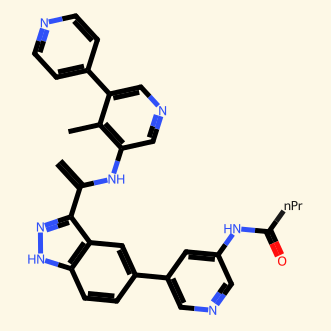 C=C(Nc1cncc(-c2ccncc2)c1C)c1n[nH]c2ccc(-c3cncc(NC(=O)CCC)c3)cc12